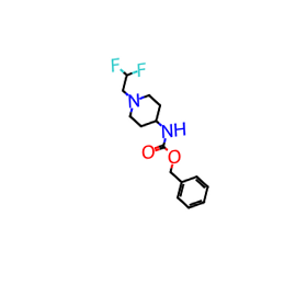 O=C(NC1CCN(CC(F)F)CC1)OCc1ccccc1